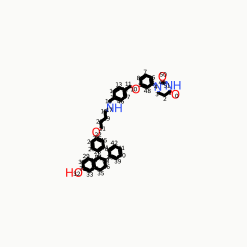 O=C1CCN(c2cccc(OCc3ccc(CNCCCCOc4ccc([C@H]5c6ccc(O)cc6CC[C@H]5c5ccccc5)cc4)cc3)c2)C(=O)N1